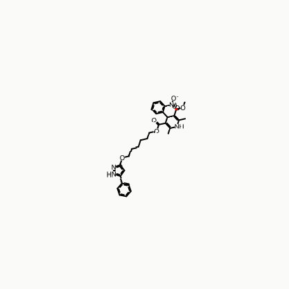 COC(=O)C1=C(C)NC(C)=C(C(=O)OCCCCCCOc2cc(-c3ccccc3)[nH]n2)C1c1ccccc1[N+](=O)[O-]